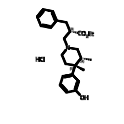 CCOC(=O)[C@@H](Cc1ccccc1)CN1CC[C@@](C)(c2cccc(O)c2)[C@@H](C)C1.Cl